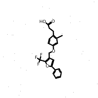 Cc1cc(OCc2cc(-c3ccccc3)oc2C(F)(F)F)ccc1CCC(=O)O